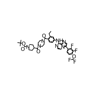 CCc1cc(Nc2nccn3c(-c4ccc(OC(F)F)c(F)c4F)cnc23)ccc1C(=O)N1CCN(C(=O)C2CCN(C(=O)OC(C)(C)C)CC2)CC1